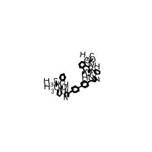 COC(=O)N[C@@H](C(=O)N1CCC[C@H]1c1ncc(-c2ccc(-c3ccc(-c4cnc([C@@H]5CCCN5C(=O)[C@@H](c5ccccc5)N(C)C)[nH]4)cc3)cc2)[nH]1)c1ccccc1CI